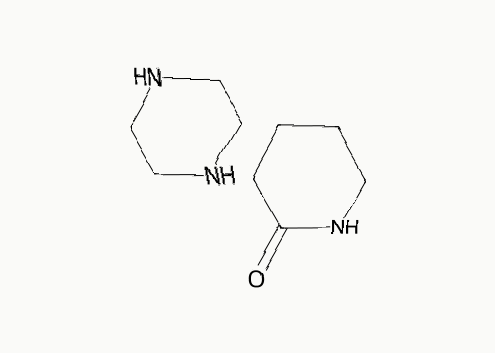 C1CNCCN1.O=C1CCCCN1